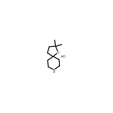 CC1(C)CCC2(CCNCC2)O1.Cl